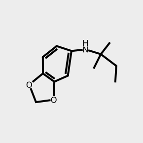 CCC(C)(C)Nc1ccc2c(c1)OCO2